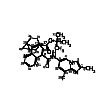 Cc1cn2cc(NC(=O)c3ccc(C45CCN(C(=O)OC(C)(C)C)CC4C5)c4nccnc34)cc(F)c2n1